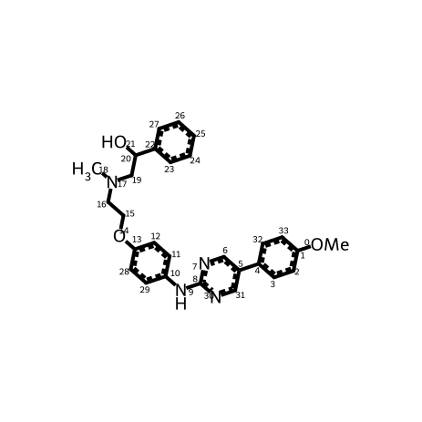 COc1ccc(-c2cnc(Nc3ccc(OCCN(C)CC(O)c4ccccc4)cc3)nc2)cc1